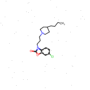 CCCCC1CCN(CCCn2c(=O)oc3cc(Cl)ccc32)CC1